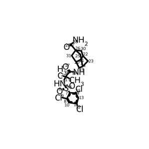 CC(C)(NS(=O)(=O)c1c(Cl)cc(Cl)cc1Cl)C(=O)NC1C2CC3CC1CC(C(N)=O)(C3)C2